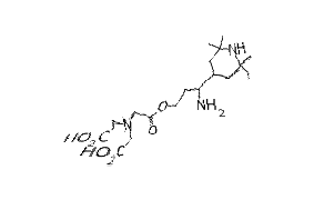 CC1(C)CC(C(N)CCOC(=O)CN(CC(=O)O)CC(=O)O)CC(C)(C)N1